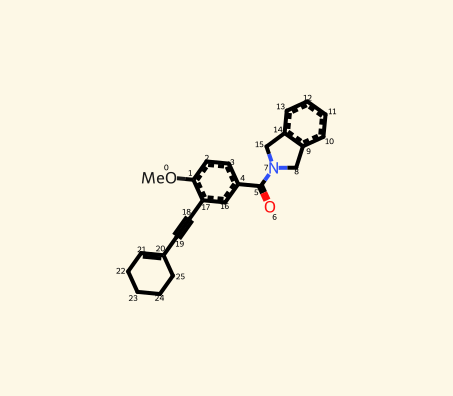 COc1ccc(C(=O)N2Cc3ccccc3C2)cc1C#CC1=CCCCC1